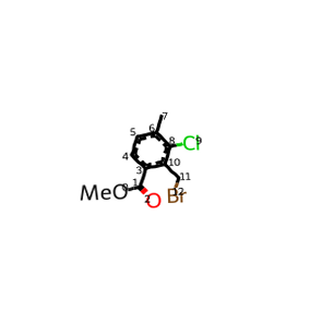 COC(=O)c1ccc(C)c(Cl)c1CBr